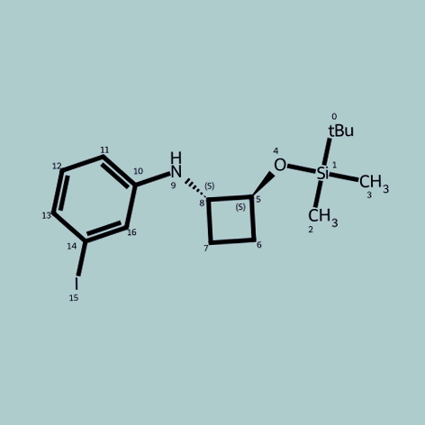 CC(C)(C)[Si](C)(C)O[C@H]1CC[C@@H]1Nc1cccc(I)c1